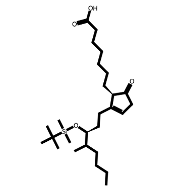 CCCCC(C)[C@H](CCC1=CCC(=O)[C@@H]1CCCCCCC(=O)O)O[Si](C)(C)C(C)(C)C